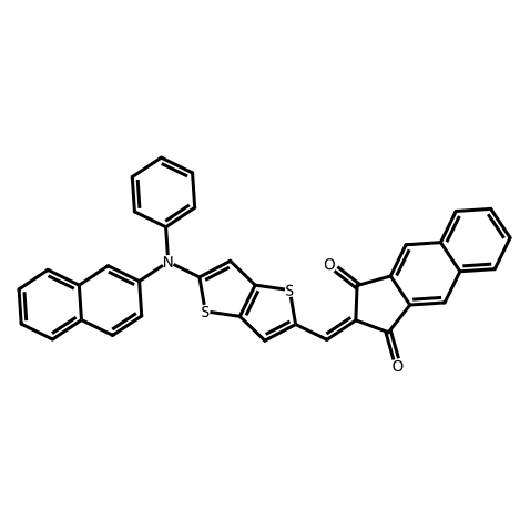 O=C1C(=Cc2cc3sc(N(c4ccccc4)c4ccc5ccccc5c4)cc3s2)C(=O)c2cc3ccccc3cc21